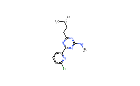 CC[C@H](CCc1nc(N[C@H](C)CC)nc(-c2cccc(Cl)n2)n1)C(F)(F)F